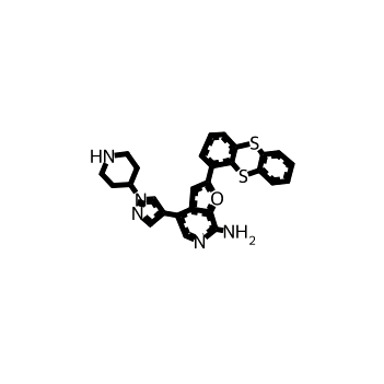 Nc1ncc(-c2cnn(C3CCNCC3)c2)c2cc(-c3cccc4c3Sc3ccccc3S4)oc12